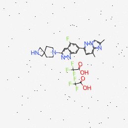 Cc1cn2nc(-c3cc(F)c4cc(N5CCC6(CC5)CNC6)nnc4c3)cc(C)c2n1.O=C(O)C(F)(F)F.O=C(O)C(F)(F)F